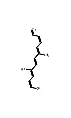 C=C\C=C/C=C(C)/C=C/C(C)=C/C=C\C